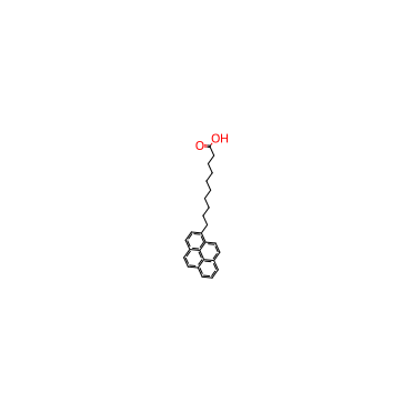 O=C(O)CCCCCCCCCc1ccc2ccc3cccc4ccc1c2c34